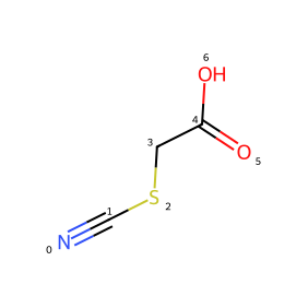 N#CSCC(=O)O